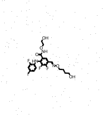 O=C(NOCCO)c1cc(/C=N/OCCCCO)c(F)c(F)c1Nc1ccc(I)cc1F